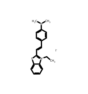 CC[n+]1c(C=Cc2ccc(N(C)C)cc2)sc2ccccc21.[I-]